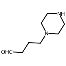 O=CCCCN1CCNCC1